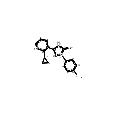 O=c1[nH]c(-c2cccnc2C2CC2)nn1-c1ccc(C(F)(F)F)cc1